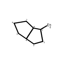 C[CH]C1CCC2CCCC12